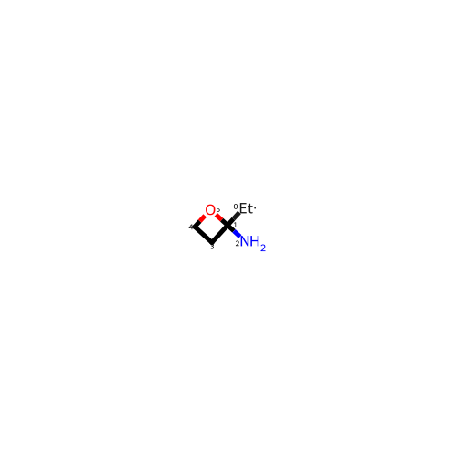 C[CH]C1(N)CCO1